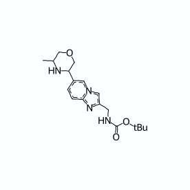 CC1COCC(c2ccc3nc(CNC(=O)OC(C)(C)C)cn3c2)N1